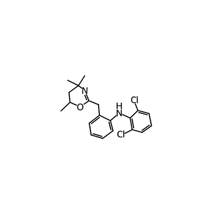 CC1CC(C)(C)N=C(Cc2ccccc2Nc2c(Cl)cccc2Cl)O1